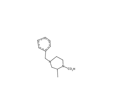 CC1CN(Cc2ccccc2)CCN1C(=O)O